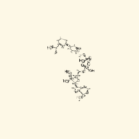 NC(=O)c1ccc[n+]([C@@H]2CN[C@H](COP(=O)(O)OP(=O)(O)OC[C@H]3O[C@@H](n4cnc5c(N)ncnc54)[C@H](O)[C@@H]3O)C2)c1